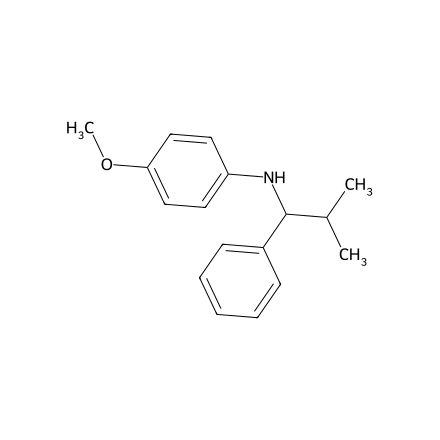 COc1ccc(NC(c2ccccc2)C(C)C)cc1